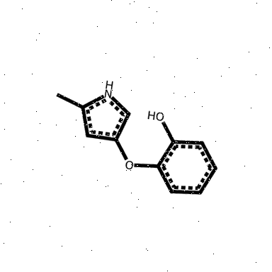 Cc1cc(Oc2ccccc2O)c[nH]1